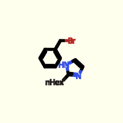 BrCc1ccccc1.CCCCCCc1ncc[nH]1